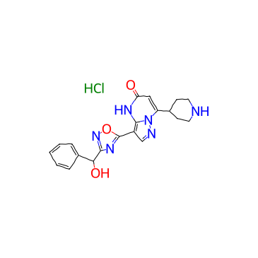 Cl.O=c1cc(C2CCNCC2)n2ncc(-c3nc(C(O)c4ccccc4)no3)c2[nH]1